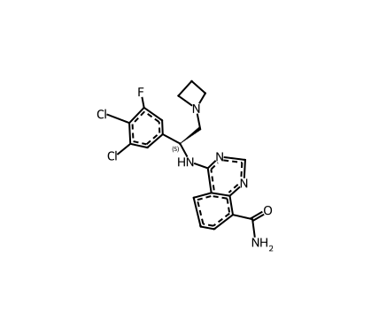 NC(=O)c1cccc2c(N[C@H](CN3CCC3)c3cc(F)c(Cl)c(Cl)c3)ncnc12